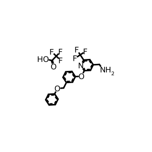 NCc1cc(Oc2cccc(COc3ccccc3)c2)nc(C(F)(F)F)c1.O=C(O)C(F)(F)F